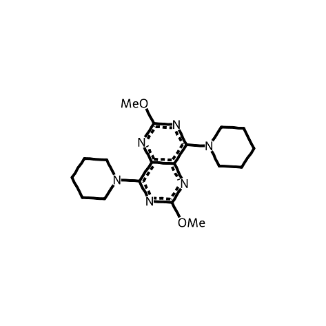 COc1nc(N2CCCCC2)c2nc(OC)nc(N3CCCCC3)c2n1